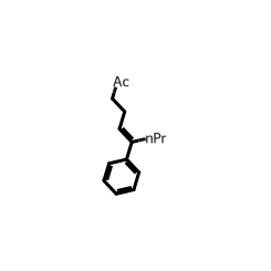 CCCC(=CCCC(C)=O)c1ccccc1